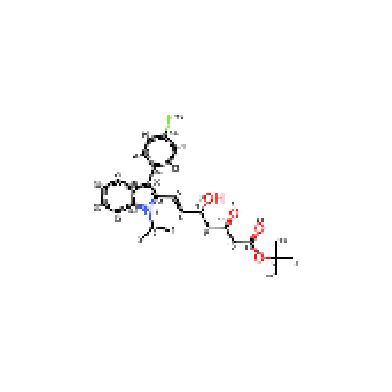 CC(C)n1c(/C=C/C(O)CC(=O)CC(=O)OC(C)(C)C)c(-c2ccc(F)cc2)c2ccccc21